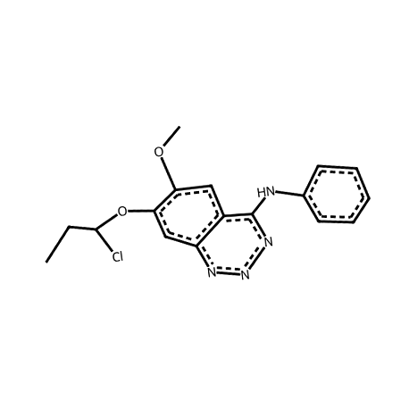 CCC(Cl)Oc1cc2nnnc(Nc3ccccc3)c2cc1OC